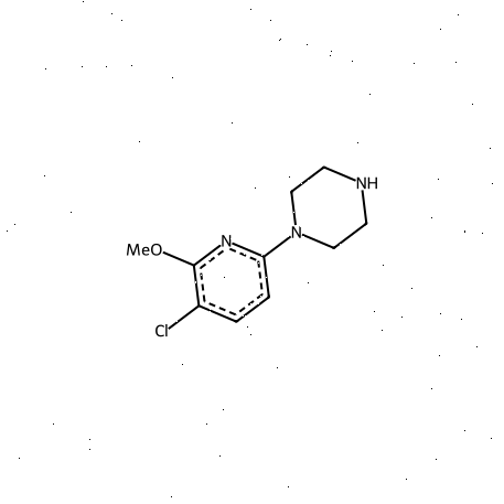 COc1nc(N2CCNCC2)ccc1Cl